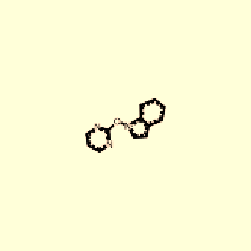 c1cnc(On2ccc3ccccc32)nc1